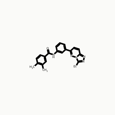 CCc1nnc2ccc(-c3cccc(NC(=O)c4ccc(C)c(C)c4)c3)nn12